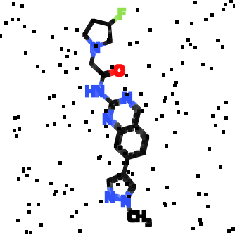 Cn1cc(-c2ccc3cnc(NC(=O)CN4CCC(F)C4)nc3c2)cn1